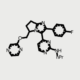 CCCNc1nccc(-c2c(-c3ccc(F)cc3)nc3n2C(COc2cnccn2)CC3)n1